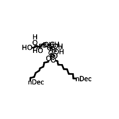 CCCCC.CCCCCCCCCCCCCCCCCCOP(=O)(OCCCCCCCCCCCCCCCCCC)OP(=O)(O)O.OC[C@@H](O)[C@@H](O)CO